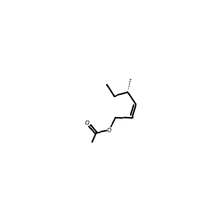 CC[C@H](C)/C=C\COC(C)=O